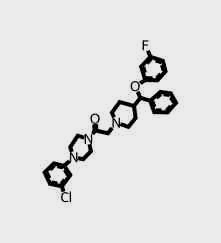 O=C(CN1CCC(C(Oc2cccc(F)c2)c2ccccc2)CC1)N1CCN(c2cccc(Cl)c2)CC1